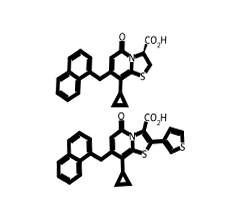 O=C(O)[C@H]1CSc2c(C3CC3)c(Cc3cccc4ccccc34)cc(=O)n21.O=C(O)c1c(-c2ccsc2)sc2c(C3CC3)c(Cc3cccc4ccccc34)cc(=O)n12